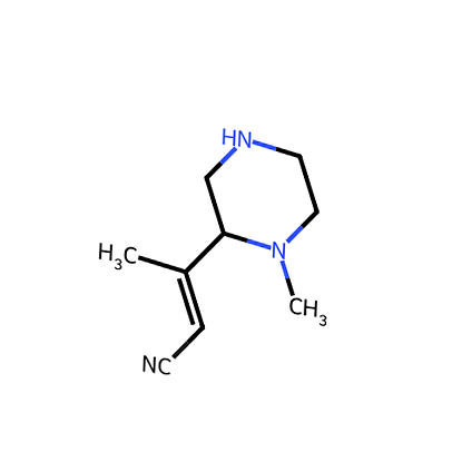 CC(=CC#N)C1CNCCN1C